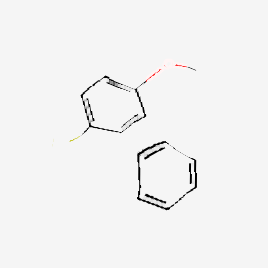 COc1ccc(S)cc1.c1ccccc1